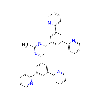 Cc1nc(-c2cc(-c3ccccn3)cc(-c3ccccn3)c2)cc(-c2cc(-c3ccccn3)cc(-c3ccccn3)c2)n1